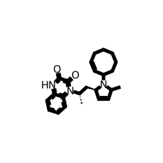 CC1C=C[C@@H](C[C@H](C)n2c(=O)c(=O)[nH]c3ccccc32)N1C1/C=C\CCCCC1